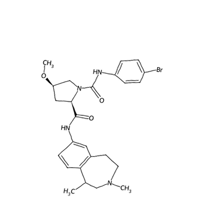 CO[C@@H]1C[C@H](C(=O)Nc2ccc3c(c2)CCN(C)CC3C)N(C(=O)Nc2ccc(Br)cc2)C1